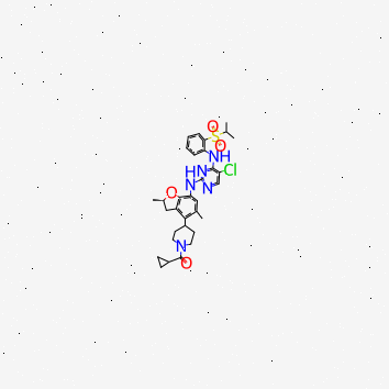 Cc1cc(Nc2ncc(Cl)c(Nc3ccccc3S(=O)(=O)C(C)C)n2)c2c(c1C1CCN(C(=O)C3CC3)CC1)C[C@@H](C)O2